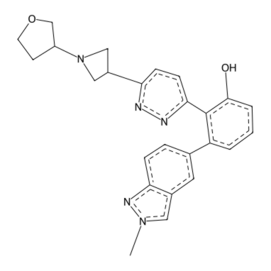 Cn1cc2cc(-c3cccc(O)c3-c3ccc(C4CN(C5CCOC5)C4)nn3)ccc2n1